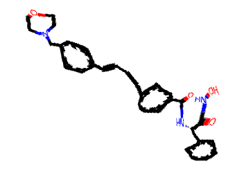 O=C(N[C@H](C(=O)NO)c1ccccc1)c1ccc(/C=C/C#Cc2ccc(CN3CCOCC3)cc2)cc1